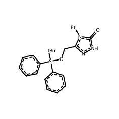 CCn1c(CO[Si](c2ccccc2)(c2ccccc2)C(C)(C)C)n[nH]c1=O